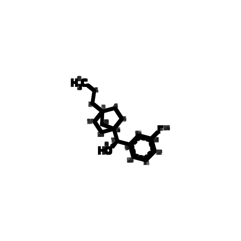 CCCC12CCC([C@H](O)c3cccc(F)c3)(CC1)C2